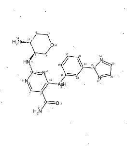 NC(=O)c1cnc(N[C@@H]2COCC[C@@H]2N)nc1[AsH]c1cccc(-n2nccn2)c1